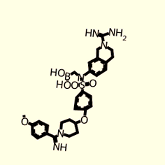 COc1ccc(C(=N)N2CCC(Oc3ccc(S(=O)(=O)N(CB(O)O)c4ccc5c(c4)CN(C(=N)N)CC5)cc3)CC2)cc1